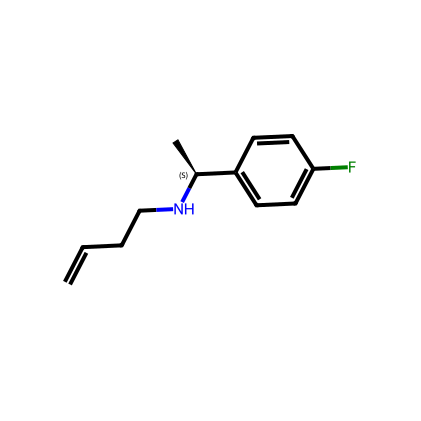 C=CCCN[C@@H](C)c1ccc(F)cc1